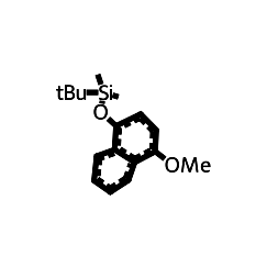 COc1ccc(O[Si](C)(C)C(C)(C)C)c2ccccc12